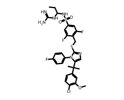 CCC(NC(=N)N)NS(=O)(=O)c1cc(F)c(CSc2ncc(C(C)(C)c3ccc(Cl)c(OC)c3)n2-c2ccc(F)cc2)c(F)c1